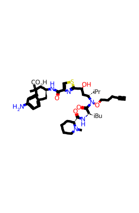 C#CCCCON(C(=O)[C@@H](NC(=O)[C@H]1CCCCN1C)[C@@H](C)CC)[C@H](C[C@@H](O)c1nc(C(=O)N[C@@H](Cc2ccc(N)cc2)CC(C)(C)C(=O)O)cs1)C(C)C